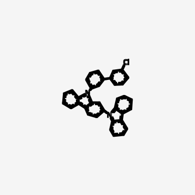 Clc1cccc(-c2cccc(-n3c4ccccc4c4ccc(-n5c6ccccc6c6ccccc65)cc43)c2)c1